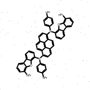 CCCc1ccc(N(c2ccc3ccc4c(N(c5ccc(CCC)cc5)c5cccc6c5oc5c(CCC)cccc56)ccc5ccc2c3c54)c2cccc3c2oc2c(CCC)cccc23)cc1